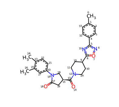 Cc1ccc(-c2noc(C3CCN(C(=O)[C@H]4CC(=O)N(c5ccc(C)c(C)c5)C4)CC3)n2)cc1